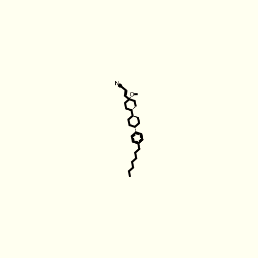 CCCCCCCc1ccc([C@H]2CC[C@H]([C@H]3CC[C@@](C=CC#N)(OC)CC3)CC2)cc1